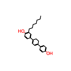 CCCCCCCc1cc(C2=CC=C(c3ccc(O)cc3)CC2)ccc1O